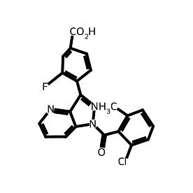 Cc1cccc(Cl)c1C(=O)n1nc(-c2ccc(C(=O)O)cc2F)c2ncccc21